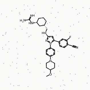 COC1CCN(c2ccc(-n3nc(NC[C@H]4CCC[C@H](NC(=N)N)C4)cc3-c3ccc(C#N)c(F)c3)cc2)CC1